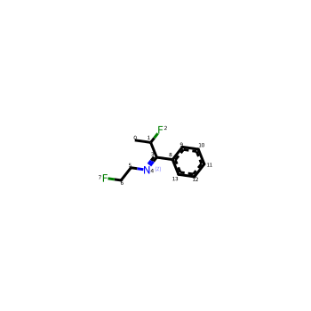 CC(F)/C(=N\CCF)c1ccccc1